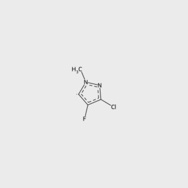 Cn1[c]c(F)c(Cl)n1